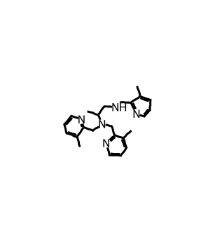 Cc1cccnc1CNCC(C)N(Cc1ncccc1C)Cc1ncccc1C